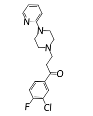 O=C(CCN1CCN(c2ccccn2)CC1)c1ccc(F)c(Cl)c1